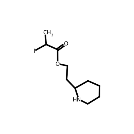 CC(I)C(=O)OCCC1CCCCN1